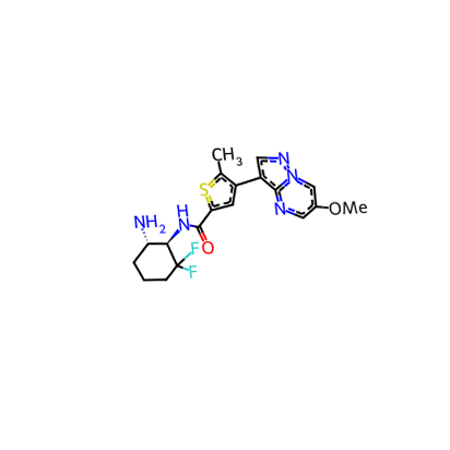 COc1cnc2c(-c3cc(C(=O)N[C@@H]4[C@@H](N)CCCC4(F)F)sc3C)cnn2c1